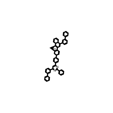 C1=CC2C(c3cccc(-c4ccccc4)c3)=CC3=C(C2C=C1)[C@@H]1C=C1C1=C3C=CC(c2ccc(-c3cc(-c4cccc(-c5ccccc5)c4)nc(-c4ccccc4)n3)cc2)C1